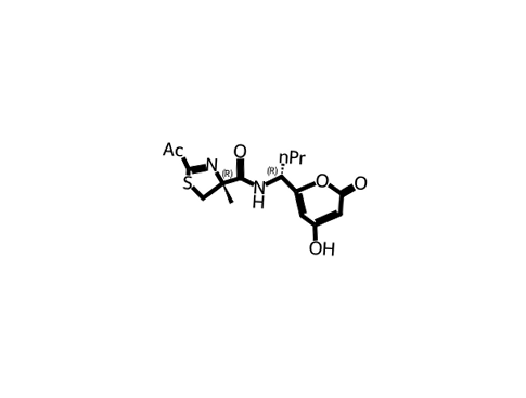 CCC[C@@H](NC(=O)[C@]1(C)CSC(C(C)=O)=N1)c1cc(O)cc(=O)o1